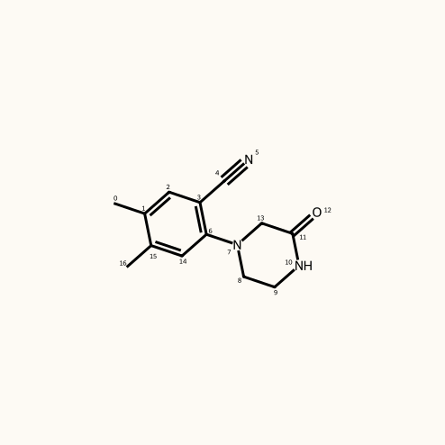 Cc1cc(C#N)c(N2CCNC(=O)C2)cc1C